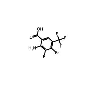 Nc1c(C(=O)O)cc(C(F)(F)F)c(Br)c1F